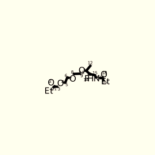 CCC(=O)COCCOCCOC(C)C(F)CNC(=O)CC